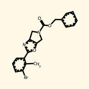 Cc1c(Br)cccc1-c1nc2c(o1)CN(C(=O)OCc1ccccc1)C2